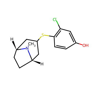 CN1[C@@H]2CC[C@H]1CC(Sc1ccc(O)cc1Cl)C2